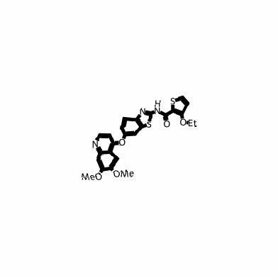 CCOc1ccsc1C(=O)Nc1nc2ccc(Oc3ccnc4cc(OC)c(OC)cc34)cc2s1